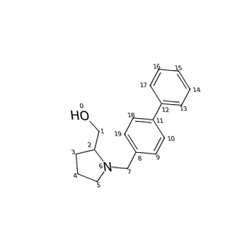 OCC1CCCN1Cc1ccc(-c2ccccc2)cc1